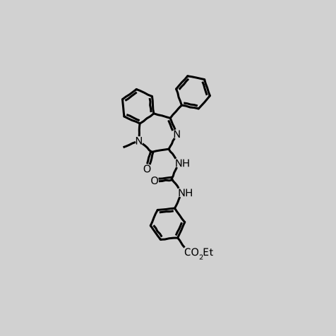 CCOC(=O)c1cccc(NC(=O)NC2N=C(c3ccccc3)c3ccccc3N(C)C2=O)c1